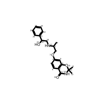 CC(COc1ccc2c(c1)OC(C)(C)NC2=O)NCC(O)c1ccccc1